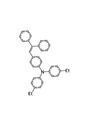 CCc1ccc(N(c2ccc(C=C(c3ccccc3)c3ccccc3)cc2)c2ccc(CC)cc2)cc1